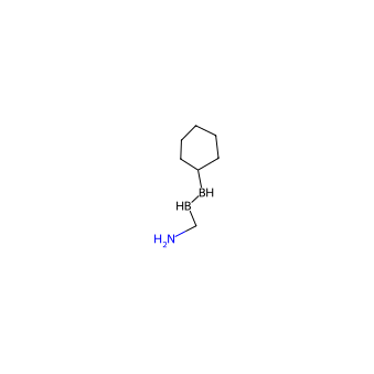 NCBBC1CCCCC1